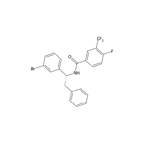 O=C(N[C@H](Cc1ccccc1)c1cccc(Br)c1)c1ccc(F)c(C(F)(F)F)c1